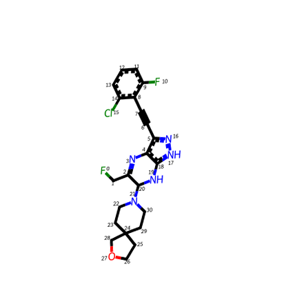 FCC1=Nc2c(C#Cc3c(F)cccc3Cl)n[nH]c2NC1N1CCC2(CCOC2)CC1